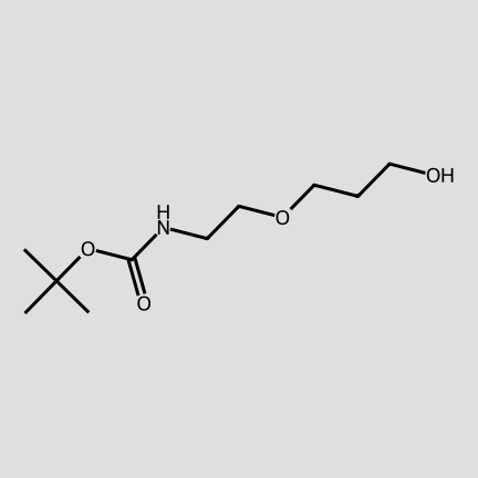 CC(C)(C)OC(=O)NCCOCCCO